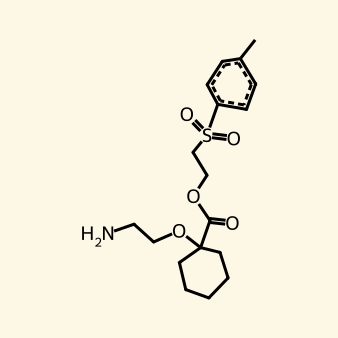 Cc1ccc(S(=O)(=O)CCOC(=O)C2(OCCN)CCCCC2)cc1